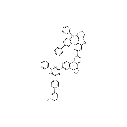 CC1C=C(c2ccc(C3=NC(c4ccc5c(c4)C4CCC4c4ccc(-c6ccc7c(c6)oc6cccc(-n8c9ccccc9c9cc(-c%10ccccc%10)ccc98)c67)cc4-5)=NC(c4ccccc4)N3)cc2)C=CC1